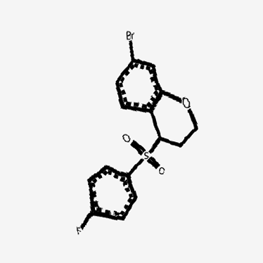 O=S(=O)(c1ccc(F)cc1)C1CCOc2cc(Br)ccc21